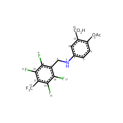 CC(=O)Oc1ccc(NCc2c(F)c(F)c(C(F)(F)F)c(F)c2F)cc1C(=O)O